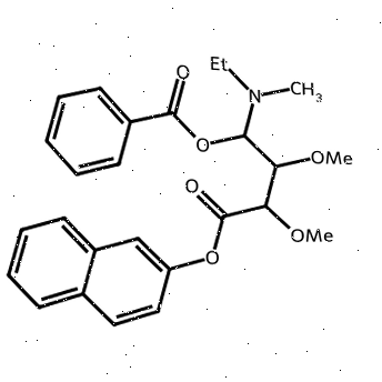 CCN(C)C(OC(=O)c1ccccc1)C(OC)C(OC)C(=O)Oc1ccc2ccccc2c1